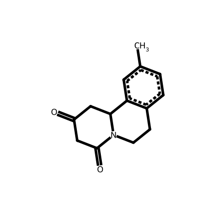 Cc1ccc2c(c1)C1CC(=O)CC(=O)N1CC2